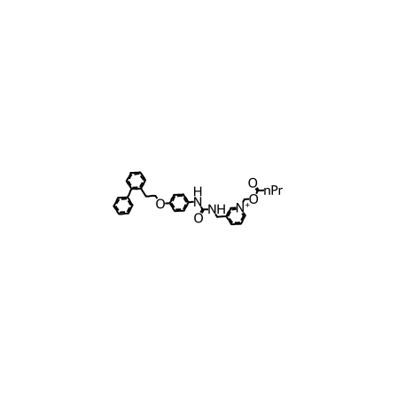 CCCC(=O)OC[n+]1cccc(CNC(=O)Nc2ccc(OCCc3ccccc3-c3ccccc3)cc2)c1